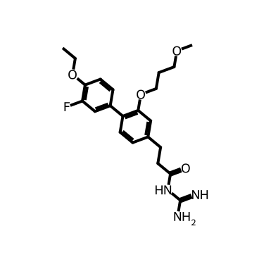 CCOc1ccc(-c2ccc(CCC(=O)NC(=N)N)cc2OCCCOC)cc1F